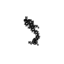 COc1cc(N2CCC(CN3CCN(CC(=O)OC(C)(C)C)CC3)CC2)ccc1Nc1ncc(Cl)c(Nc2ccccc2N(C)[SH]=O)n1